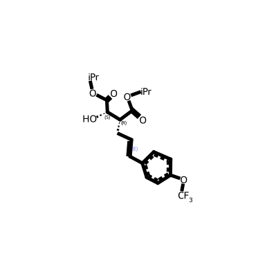 CC(C)OC(=O)[C@@H](O)[C@@H](C/C=C/c1ccc(OC(F)(F)F)cc1)C(=O)OC(C)C